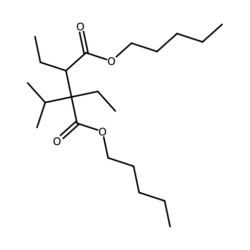 CCCCCOC(=O)C(CC)C(CC)(C(=O)OCCCCC)C(C)C